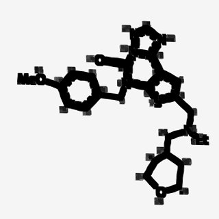 CCN(Cc1cc2c(s1)n(Cc1ccc(OC)cc1)c(=O)n1ncnc21)CC1CCOCC1